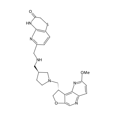 COc1ccc2ncc3c(c2n1)[C@@H](CN1CC[C@@H](CNCc2ccc4c(n2)NC(=O)CS4)C1)CO3